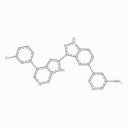 Nc1cncc(-c2ccc3[nH]nc(-c4cc5c(-c6cccc(F)c6)cncc5[nH]4)c3c2)c1